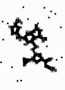 C=CC(=O)C1C[C@@H](COc2nc(Nc3cnn(C)c3)nc3[nH]cc(C#N)c23)[C@H](C2CC2)C1